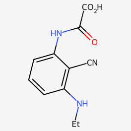 CCNc1cccc(NC(=O)C(=O)O)c1C#N